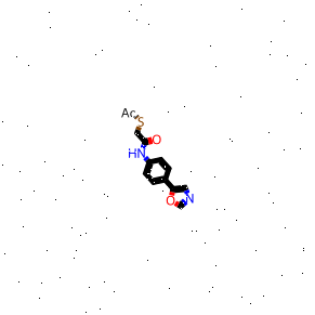 CC(=O)SCC(=O)Nc1ccc(-c2cnco2)cc1